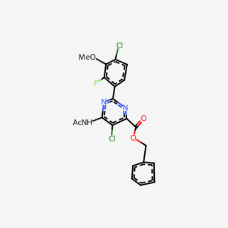 COc1c(Cl)ccc(-c2nc(NC(C)=O)c(Cl)c(C(=O)OCc3ccccc3)n2)c1F